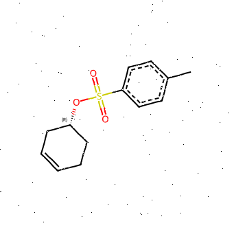 Cc1ccc(S(=O)(=O)O[C@H]2CC=CCC2)cc1